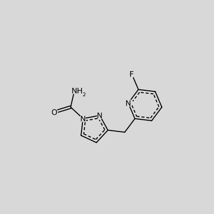 NC(=O)n1ccc(Cc2cccc(F)n2)n1